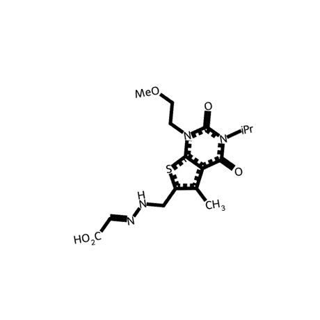 COCCn1c(=O)n(C(C)C)c(=O)c2c(C)c(CN/N=C/C(=O)O)sc21